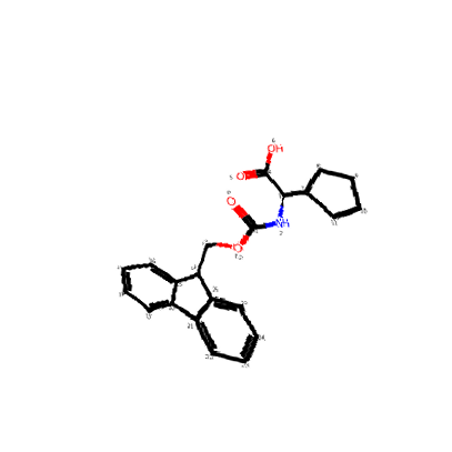 O=C(N[C@@H](C(=O)O)C1CCCC1)OCC1c2ccccc2-c2ccccc21